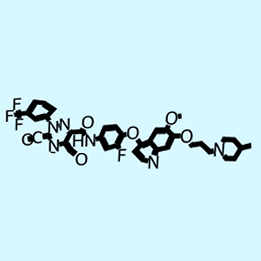 COc1cc2c(Oc3ccc(NC(=O)C4=NN(c5cccc(C(F)(F)F)c5)C(=C=O)N(C)C4=C=O)cc3F)ccnc2cc1OCCCN1CCC(C)CC1